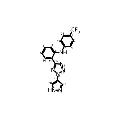 FC(F)(F)c1ccc(Nc2ccccc2-c2nnn(-c3cn[nH]c3)n2)cc1